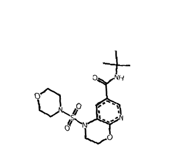 CC(C)(C)NC(=O)c1cnc2c(c1)N(S(=O)(=O)N1CCOCC1)CCO2